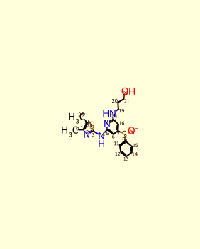 Cc1nc(Nc2cc([S+]([O-])c3ccccc3)cc(NCCCO)n2)sc1C